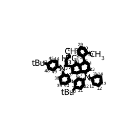 C=C/C=C(\c1ccc2c(N(c3ccccc3)c3ccc(C(C)(C)C)cc3)ccc(-c3ccccc3C)c2c1C)N(c1ccccc1)c1ccc(C(C)(C)C)cc1